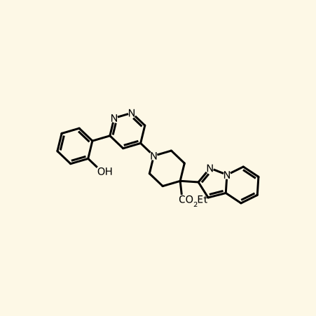 CCOC(=O)C1(c2cc3ccccn3n2)CCN(c2cnnc(-c3ccccc3O)c2)CC1